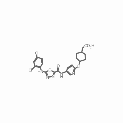 O=C(O)CC1CCC(Oc2ccc(NC(=O)c3nnc(Nc4ccc(Cl)cc4Cl)o3)cn2)CC1